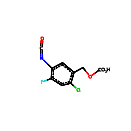 O=C=Nc1cc(COC(=O)O)c(Cl)cc1F